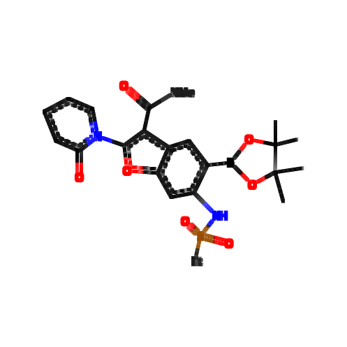 CCS(=O)(=O)Nc1cc2oc(-n3ccccc3=O)c(C(=O)NC)c2cc1B1OC(C)(C)C(C)(C)O1